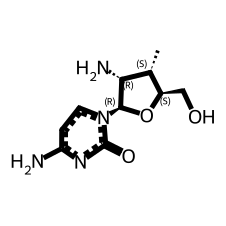 C[C@H]1[C@@H](N)[C@H](n2ccc(N)nc2=O)O[C@@H]1CO